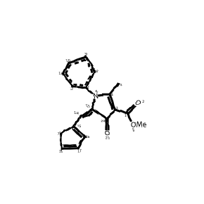 COC(=O)C1=C(C)N(c2ccccc2)/C(=C/C2=CC=CC2)C1=O